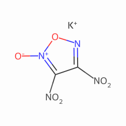 O=[N+]([O-])c1no[n+]([O-])c1[N+](=O)[O-].[K+]